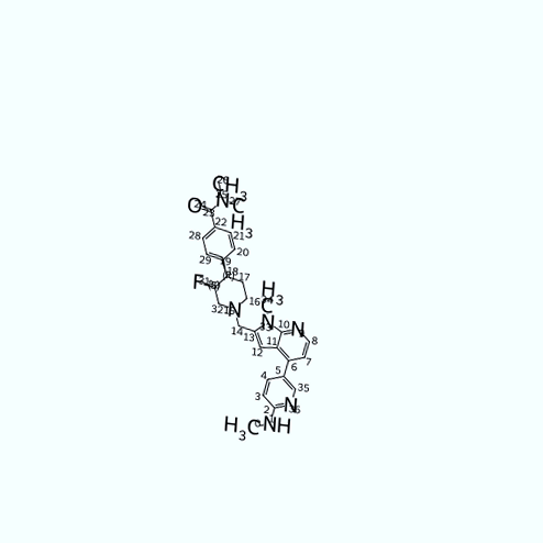 CNc1ccc(-c2ccnc3c2cc(CN2CC[C@H](c4ccc(C(=O)N(C)C)cc4)[C@H](F)C2)n3C)cn1